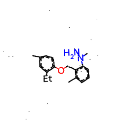 CCc1cc(C)ccc1OCc1c(C)cccc1N(C)N